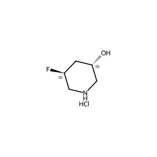 Cl.O[C@@H]1CNC[C@@H](F)C1